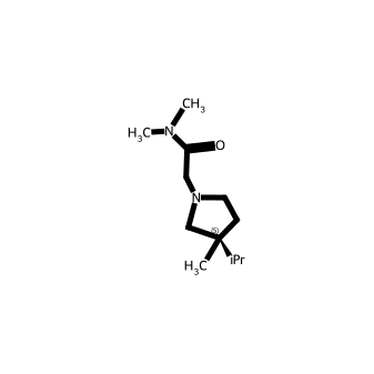 CC(C)[C@]1(C)CCN(CC(=O)N(C)C)C1